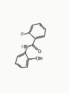 O=C(Nc1ccccc1O)c1ccccc1F